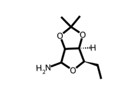 CC[C@H]1OC(N)C2OC(C)(C)O[C@H]21